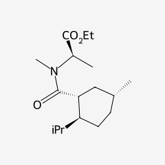 CCOC(=O)[C@@H](C)N(C)C(=O)[C@@H]1C[C@H](C)CC[C@H]1C(C)C